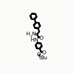 CC(C)(C)OC(=O)c1ccc(NC(=O)[C@@H](N)Cc2ccc(-c3ccccc3)cc2)cc1